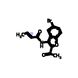 C/C=C/C(=O)Nc1c(C(C)=O)oc2ccc(Br)cc12